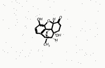 CN1CC[C@]23c4c5ccc(O)c4O[C@@H]2C(=O)CC[C@@]3(O)[C@H]1C5